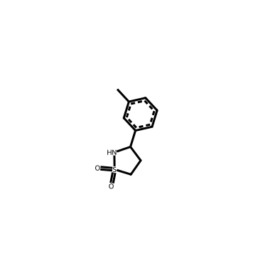 Cc1cccc(C2CCS(=O)(=O)N2)c1